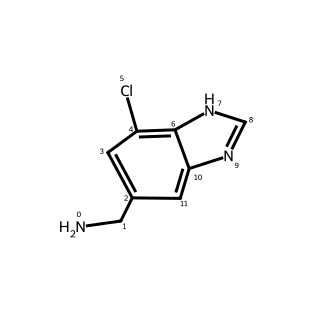 NCc1cc(Cl)c2[nH]cnc2c1